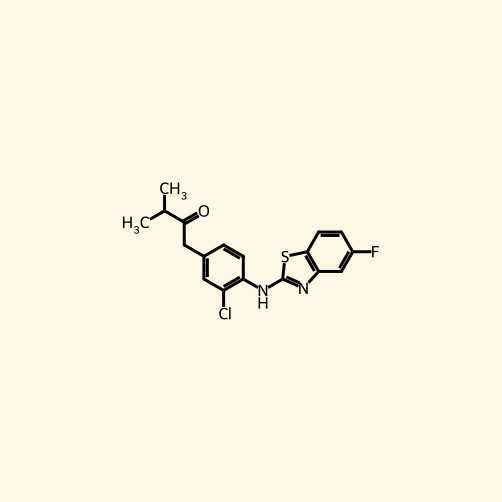 CC(C)C(=O)Cc1ccc(Nc2nc3cc(F)ccc3s2)c(Cl)c1